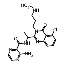 CC(NC(=O)c1nccnc1N)c1nc2cccc(Cl)c2c(=O)n1CCCNC(=O)O